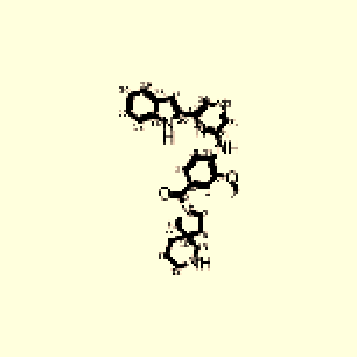 COc1cc(C(=O)N2CCC3(CCCNC3)C2)ccc1Nc1cncc(-c2cc3ccccc3[nH]2)n1